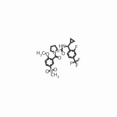 COc1ccc(S(C)(=O)=O)cc1C(=O)N1CCC[C@@H]1C(=O)NC(c1ccc(C(F)(F)F)cc1F)C1CC1